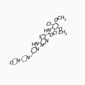 COc1cc(OC)c(Cl)c(NC(=O)c2csc3c(Nc4ccc(CN5CCC(N6CCOCC6)CC5)cn4)ncnc23)c1Cl